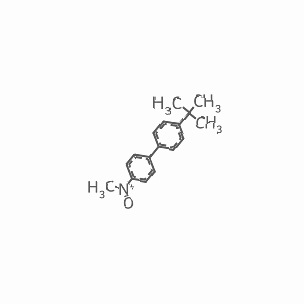 C[N+](=O)c1ccc(-c2ccc(C(C)(C)C)cc2)cc1